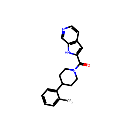 O=C(c1cc2ccncc2[nH]1)N1CCC(c2ccccc2C(F)(F)F)CC1